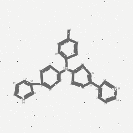 Cc1ccc(N(c2ccc(-c3cccnc3)cc2)c2ccc(-c3cccnc3)cc2)cc1